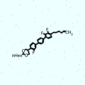 C=CCCCCc1ccc(-c2ccc(-c3ccc(C4COC(CCCCCC)OC4)c(F)c3)cc2)c(F)c1F